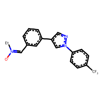 CC/[N+]([O-])=C\c1cccc(-c2cnn(-c3ccc(C(F)(F)F)cc3)c2)c1